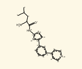 CC(C)CC(N)C(=O)Nc1nc(-c2cccc(-c3ccncc3)c2)cs1